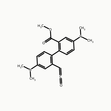 COC(=O)c1cc(N(C)C)ccc1-c1ccc(N(C)C)cc1C=C=O